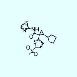 CS(=O)(=O)c1ccc([C@@]2(C(=O)Nc3nccs3)C[C@H]2C2CCCC2)s1